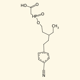 CCC(CCO[PH](=O)CC(=O)O)CCc1ccc(C#N)cc1